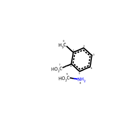 Cc1ccccc1C(=O)O.NC(=O)O